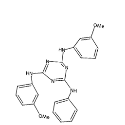 COc1cccc(Nc2nc(Nc3ccccc3)nc(Nc3cccc(OC)c3)n2)c1